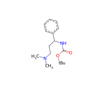 CN(C)CCC(NC(=O)OC(C)(C)C)c1ccccc1